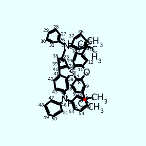 CC(C)(C)c1ccc2c(c1)Oc1cc(C(C)(C)C)ccc1[Si]21c2cc(N(c3ccccc3)c3ccccc3)ccc2-c2ccc(N(c3ccccc3)c3ccccc3)cc21